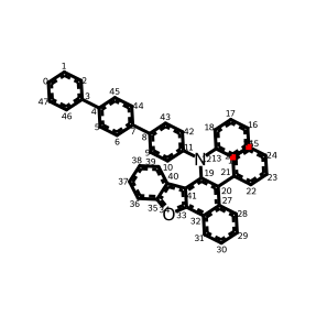 c1ccc(-c2ccc(-c3ccc(N(c4ccccc4)c4c(-c5ccccc5)c5ccccc5c5oc6ccccc6c45)cc3)cc2)cc1